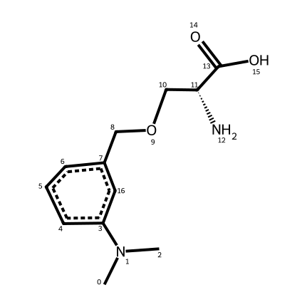 CN(C)c1cccc(COC[C@@H](N)C(=O)O)c1